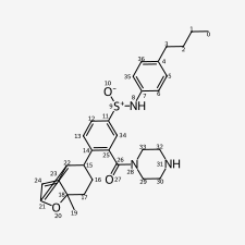 CCCCc1ccc(N[S+]([O-])c2ccc(C3CCC4(C)OC5=C3C4=C5)c(C(=O)N3CCNCC3)c2)cc1